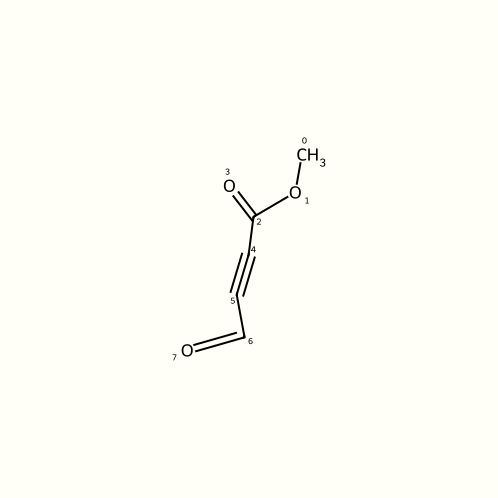 COC(=O)C#CC=O